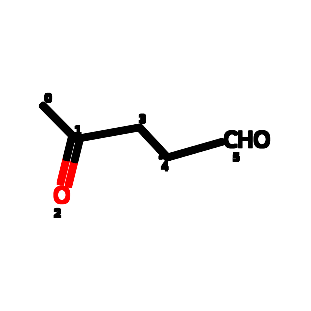 CC(=O)C[CH]C=O